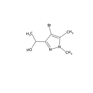 Cc1c(Br)c(C(C)O)nn1C